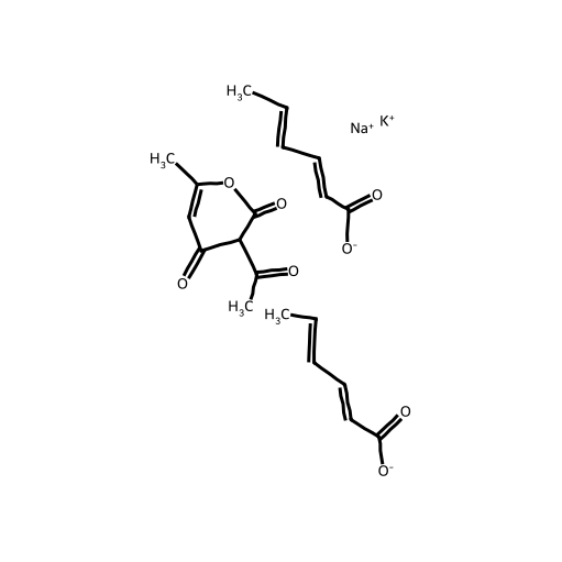 CC(=O)C1C(=O)C=C(C)OC1=O.CC=CC=CC(=O)[O-].CC=CC=CC(=O)[O-].[K+].[Na+]